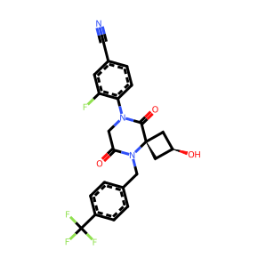 N#Cc1ccc(N2CC(=O)N(Cc3ccc(C(F)(F)F)cc3)[C@]3(C[C@H](O)C3)C2=O)c(F)c1